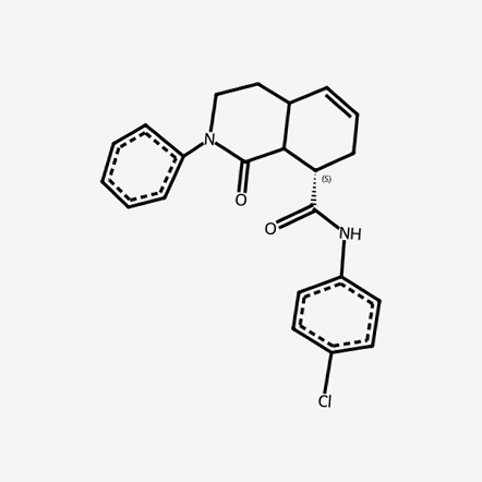 O=C(Nc1ccc(Cl)cc1)[C@H]1CC=CC2CCN(c3ccccc3)C(=O)C21